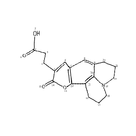 O=C(O)CCc1cc2cc3c4c(c2oc1=O)CCCN4CCC3